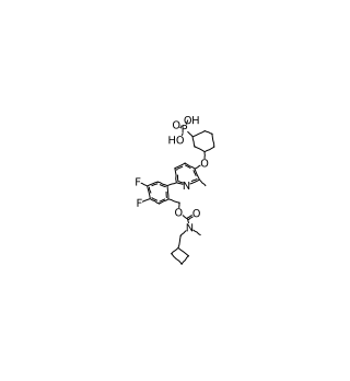 Cc1nc(-c2cc(F)c(F)cc2COC(=O)N(C)CC2CCC2)ccc1OC1CCCC(P(=O)(O)O)C1